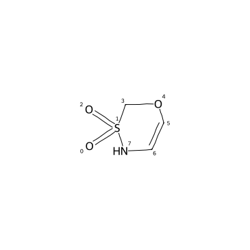 O=S1(=O)COC=CN1